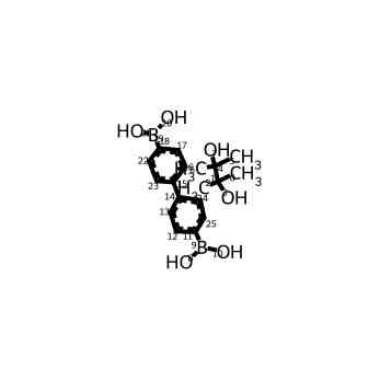 CC(C)(O)C(C)(C)O.OB(O)c1ccc(-c2ccc(B(O)O)cc2)cc1